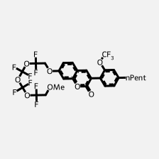 CCCCCc1ccc(-c2cc3ccc(OCC(F)(F)OC(F)(F)OC(F)(F)OC(F)(F)COC)cc3oc2=O)c(OC(F)(F)F)c1